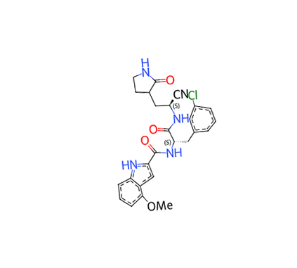 COc1cccc2[nH]c(C(=O)N[C@@H](Cc3cccc(Cl)c3)C(=O)N[C@H](C#N)CC3CCNC3=O)cc12